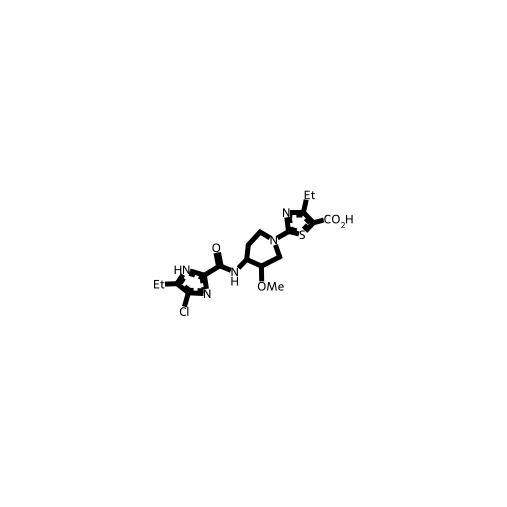 CCc1nc(N2CCC(NC(=O)c3nc(Cl)c(CC)[nH]3)C(OC)C2)sc1C(=O)O